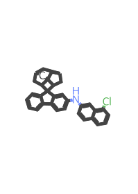 Clc1cccc2ccc(Nc3ccc4c(c3)C3(c5ccccc5-4)C4CC5CC6CC3C4(C5)C6)cc12